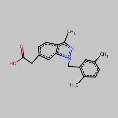 Cc1ccc(C)c(Cn2nc(C)c3ccc(CC(=O)O)cc32)c1